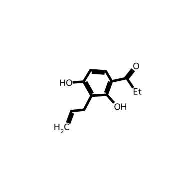 C=CCc1c(O)ccc(C(=O)CC)c1O